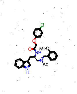 COc1ccccc1CN(C[C@@H](Cc1c[nH]c2ccccc12)NC(=O)COc1ccc(Cl)cc1)C(C)=O